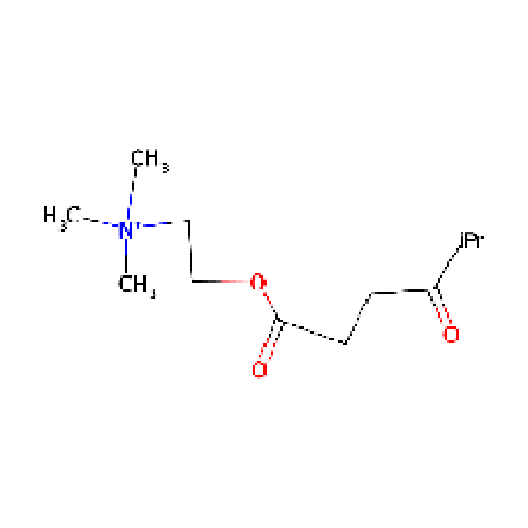 CC(C)C(=O)CCC(=O)OCC[N+](C)(C)C